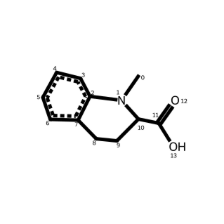 CN1c2ccccc2CCC1C(=O)O